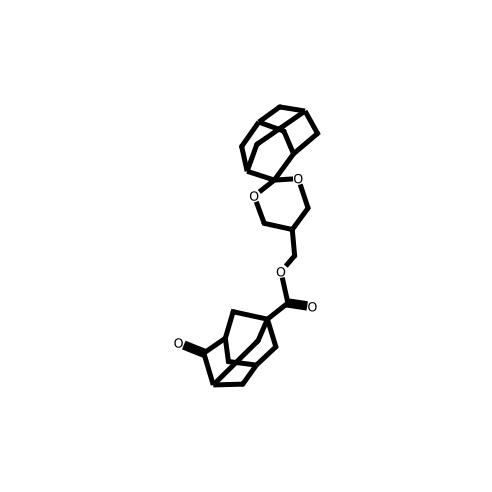 O=C1C2CC3CC1CC(C(=O)OCC1COC4(OC1)C1CC5CC(C1)CC4C5)(C3)C2